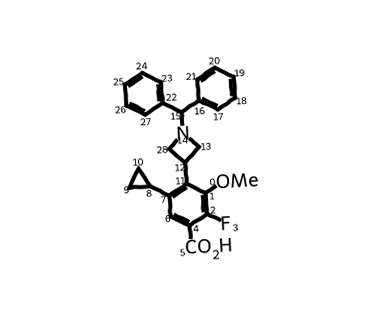 COc1c(F)c(C(=O)O)cc(C2CC2)c1C1CN(C(c2ccccc2)c2ccccc2)C1